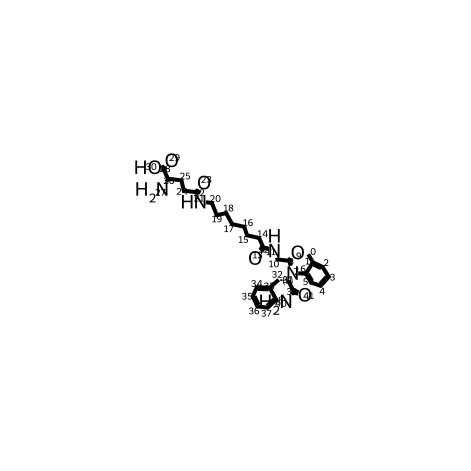 Cc1ccccc1N(C(=O)CNC(=O)CCCCCCCNC(=O)CCC(N)C(=O)O)[C@@H](Cc1ccccc1)C(N)=O